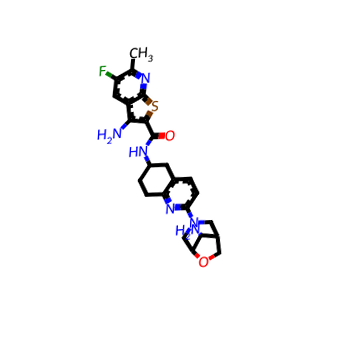 Cc1nc2sc(C(=O)NC3CCc4nc(N5CC6COC(C5)C6N)ccc4C3)c(N)c2cc1F